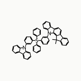 CC1(C)c2ccccc2-c2ccc3c4ccccc4n(-c4cccc(S(c5ccccc5)(c5ccccc5)c5cccc(-n6c7ccccc7c7ccccc76)c5)c4)c3c21